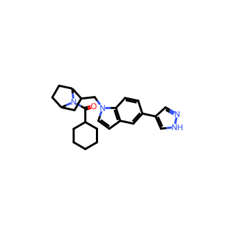 O=C(C1CCCCC1)N1C2CCC1C(Cn1ccc3cc(-c4cn[nH]c4)ccc31)C2